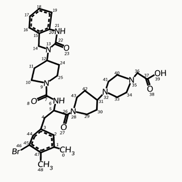 Cc1cc(CC(NC(=O)N2CCC(N3Cc4ccccc4NC3=O)CC2)C(=O)N2CCC(N3CCN(CC(=O)O)CC3)CC2)cc(Br)c1C